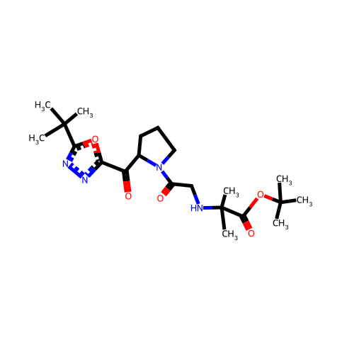 CC(C)(C)OC(=O)C(C)(C)NCC(=O)N1CCCC1C(=O)c1nnc(C(C)(C)C)o1